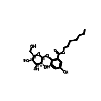 CCCCCCCOC(=O)c1cc(O)ccc1O[C@@H]1O[C@H](CO)[C@@H](O)[C@H](O)[C@H]1O